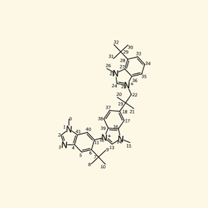 Cn1cnc2cc(C(C)(C)C)c(-[n+]3cn(C)c4cc(C(C)(C)C[n+]5cn(C)c6c(C(C)(C)C)cccc65)ccc43)cc21